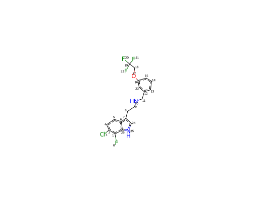 Fc1c(Cl)ccc2c(CCNCc3cccc(OCC(F)(F)F)c3)c[nH]c12